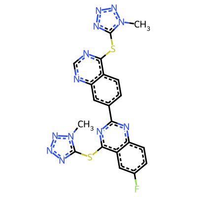 Cn1nnnc1Sc1ncnc2cc(-c3nc(Sc4nnnn4C)c4cc(F)ccc4n3)ccc12